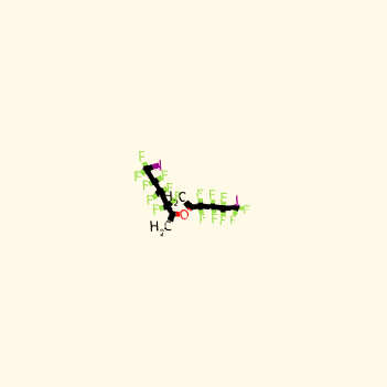 C=C(OC(=C)C(F)(F)C(F)(F)C(F)(F)C(F)(F)I)C(F)(F)C(F)(F)C(F)(F)C(F)(F)I